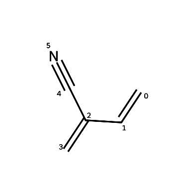 C=CC(=C)C#N